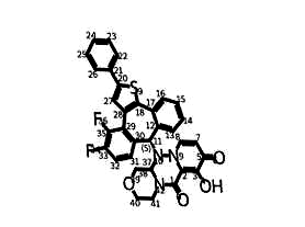 O=C1c2c(O)c(=O)ccn2N([C@@H]2c3ccccc3-c3sc(-c4ccccc4)cc3-c3c2ccc(F)c3F)C2COCCN12